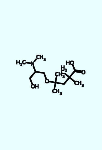 CN(C)C(CO)COC(C)(C)CC(C)(C)C(=O)O